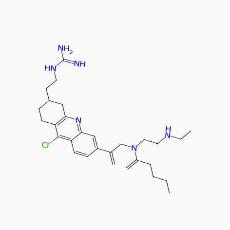 C=C(CN(CCNCC)C(=C)CCCC)c1ccc2c(Cl)c3c(nc2c1)CC(CCNC(=N)N)CC3